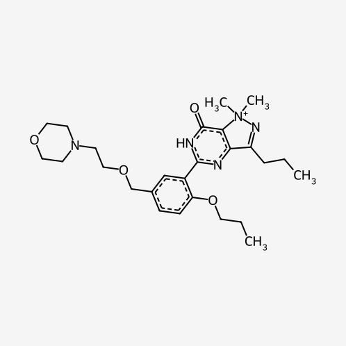 CCCOc1ccc(COCCN2CCOCC2)cc1-c1nc2c(c(=O)[nH]1)[N+](C)(C)N=C2CCC